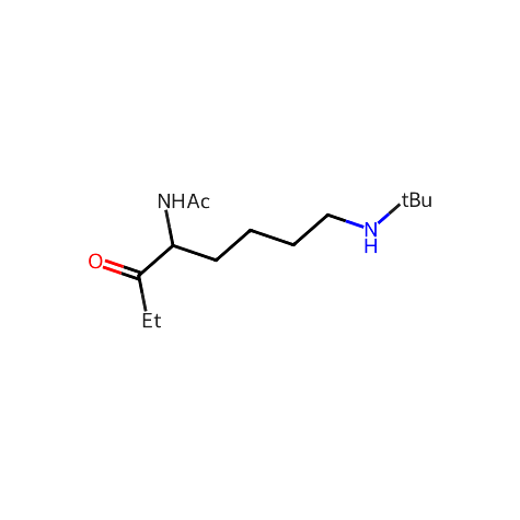 CCC(=O)C(CCCCNC(C)(C)C)NC(C)=O